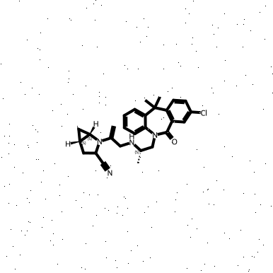 C=C(CN[C@@H](C)CN1C(=O)c2cc(Cl)ccc2C(C)(C)c2ccccc21)N1C(C#N)C[C@@H]2C[C@@H]21